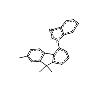 Cc1ccc2c(c1)C(C)(C)c1cccc(-n3nnc4ccccc43)c1-2